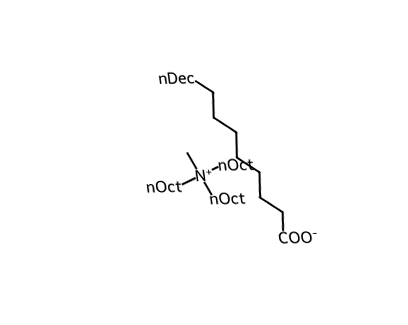 CCCCCCCCCCCCCCCCCC(=O)[O-].CCCCCCCC[N+](C)(CCCCCCCC)CCCCCCCC